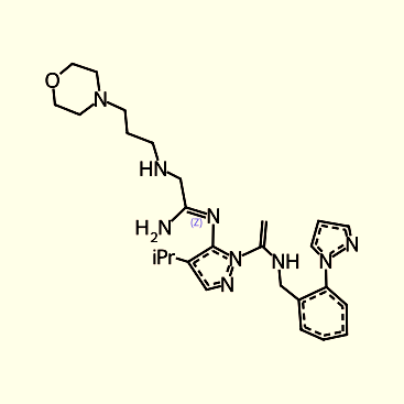 C=C(NCc1ccccc1-n1cccn1)n1ncc(C(C)C)c1/N=C(\N)CNCCCN1CCOCC1